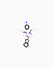 CC(C)CC1C(=O)NC(C2Cc3ccccc3C2)C(=O)N1[C@@H](C(=O)NC(C)(C)C)c1ccc2nnsc2c1